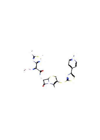 CCNc1nc(C(=NOCC)C(=O)N[C@@H]2C(=O)N3C(C(=O)[O-])=C(Sc4nc(-c5cc[n+](C)cc5)cs4)CS[C@H]23)ns1